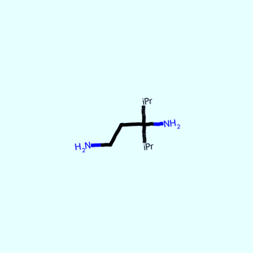 CC(C)C(N)(CCN)C(C)C